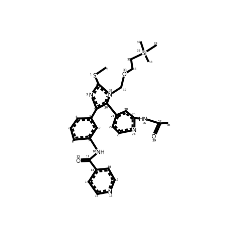 CSc1nc(-c2cccc(NC(=O)c3ccncc3)c2)c(-c2ccnc(NC(C)=O)c2)n1COCC[Si](C)(C)C